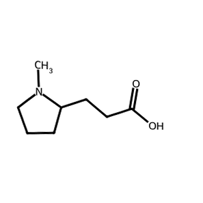 CN1CCCC1CCC(=O)O